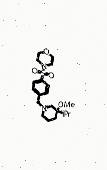 COC1(C(C)C)CCCN(Cc2ccc(S(=O)(=O)N3CCOCC3)cc2)C1